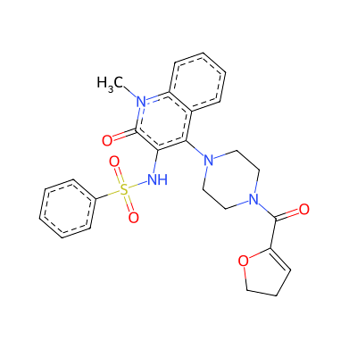 Cn1c(=O)c(NS(=O)(=O)c2ccccc2)c(N2CCN(C(=O)C3=CCCO3)CC2)c2ccccc21